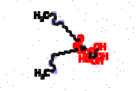 CC/C=C\C/C=C\C/C=C\CCCCCCCC(=O)OC[C@H](COC1OC(CO)C(O)C(O)C1O)OC(=O)CCCCCCC/C=C\C/C=C\C/C=C\CC